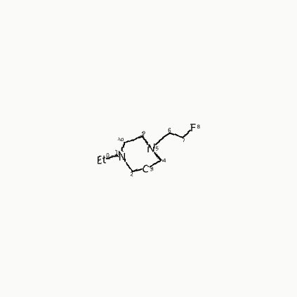 CCN1CCCN(CCF)CC1